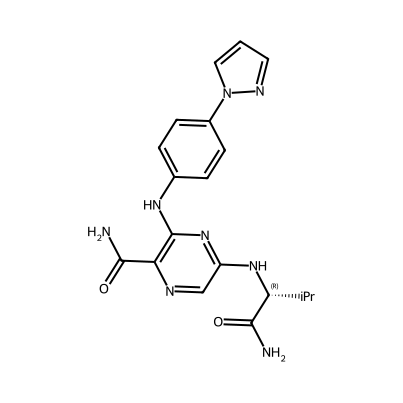 CC(C)[C@@H](Nc1cnc(C(N)=O)c(Nc2ccc(-n3cccn3)cc2)n1)C(N)=O